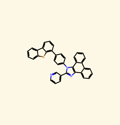 c1cncc(-c2nc3c4ccccc4c4ccccc4c3n2-c2ccc(-c3cccc4c3sc3ccccc34)cc2)c1